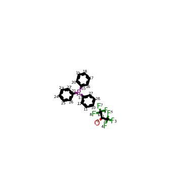 O=C(C(F)(F)F)C(F)(F)F.c1ccc(P(c2ccccc2)c2ccccc2)cc1